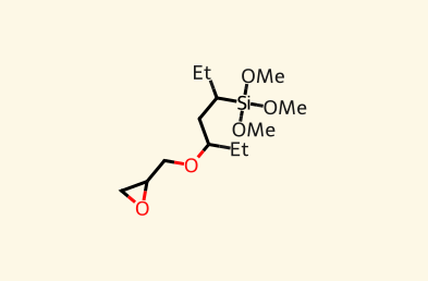 CCC(CC(CC)[Si](OC)(OC)OC)OCC1CO1